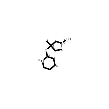 CCC(C)(CNO)OC1CCCCO1